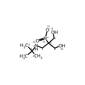 CC(C)(C)NCC(CO)(CO)[N+](=O)[O-]